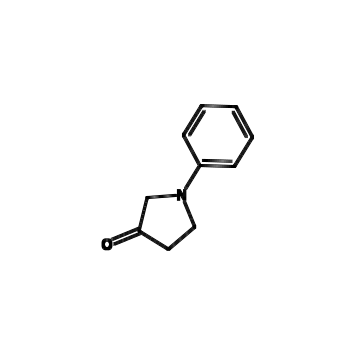 O=C1CCN(c2ccccc2)C1